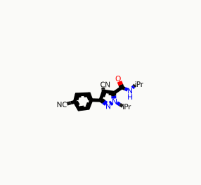 CC(C)NC(=O)c1c(C#N)c(-c2ccc(C#N)cc2)nn1C(C)C